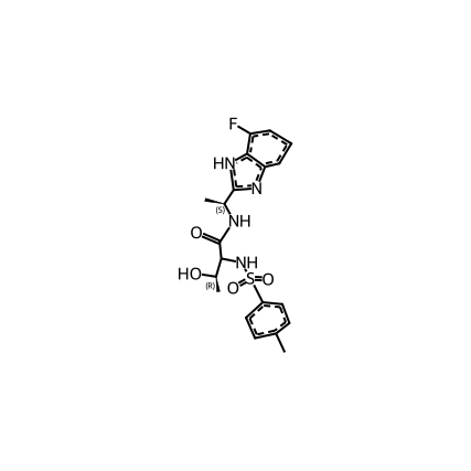 Cc1ccc(S(=O)(=O)NC(C(=O)N[C@@H](C)c2nc3cccc(F)c3[nH]2)[C@@H](C)O)cc1